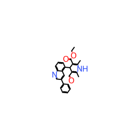 CCOC(=O)C1=C(C)NC(C)=C(C=O)C1c1cccc2ncc(-c3ccccc3)cc12